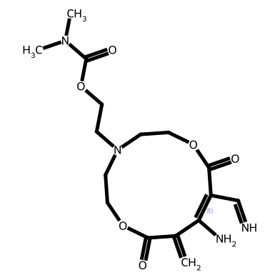 C=C1C(=O)OCCN(CCOC(=O)N(C)C)CCOC(=O)/C(C=N)=C\1N